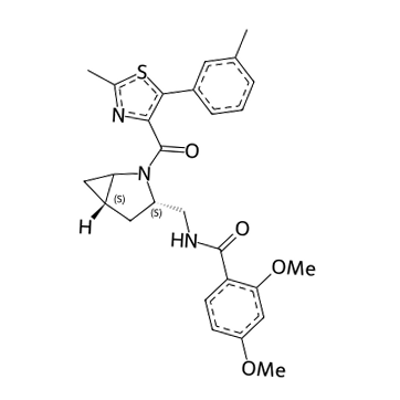 COc1ccc(C(=O)NC[C@@H]2C[C@@H]3CC3N2C(=O)c2nc(C)sc2-c2cccc(C)c2)c(OC)c1